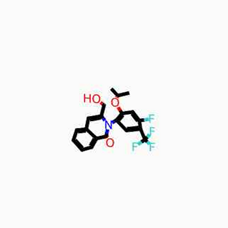 CC(C)Oc1cc(F)c(C(F)(F)F)cc1-n1c(CO)cc2ccccc2c1=O